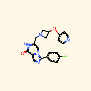 O=c1[nH]c(CN2CC(Oc3ccncc3)C2)cn2c(-c3ccc(F)cc3)ncc12